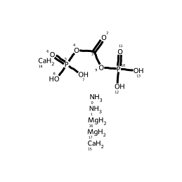 N.N.O=C(OP(=O)(O)O)OP(=O)(O)O.[CaH2].[CaH2].[MgH2].[MgH2]